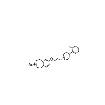 CC(=O)N1CCc2ccc(OCCCN3CCC(c4ccccc4C)CC3)cc2CC1